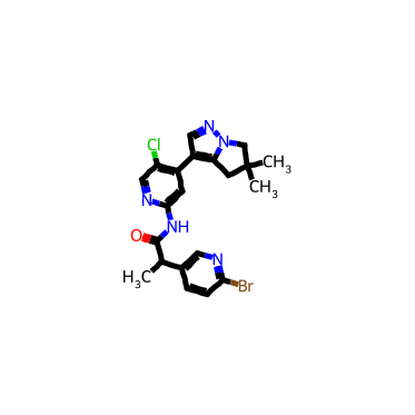 CC(C(=O)Nc1cc(-c2cnn3c2CC(C)(C)C3)c(Cl)cn1)c1ccc(Br)nc1